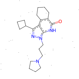 O=c1[nH]c2c(c(C3CCC3)nn2CCCN2CCCC2)c2c1CCCC2